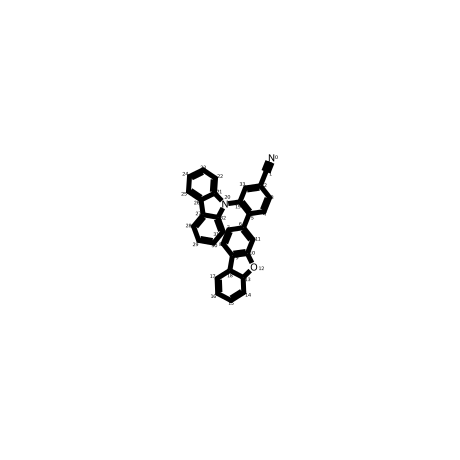 N#Cc1ccc(-c2ccc3c(c2)OC2C=CC=CC32)c(-n2c3ccccc3c3ccccc32)c1